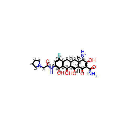 NC(=O)C1=C(O)[C@@H](N)[C@@H]2C[C@@H]3Cc4c(F)cc(NC(=O)CN5CCCC5)c(O)c4C(=O)C3=C(O)[C@@H]2C1=O